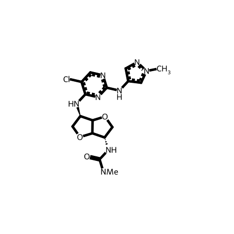 CNC(=O)N[C@H]1COC2C1OC[C@H]2Nc1nc(Nc2cnn(C)c2)ncc1Cl